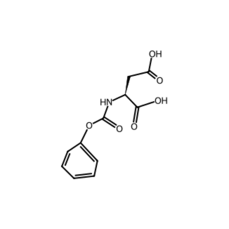 O=C(O)C[C@H](NC(=O)Oc1ccccc1)C(=O)O